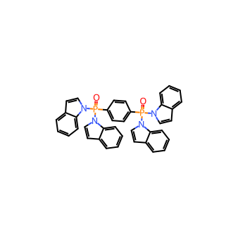 O=P(c1ccc(P(=O)(n2ccc3ccccc32)n2ccc3ccccc32)cc1)(n1ccc2ccccc21)n1ccc2ccccc21